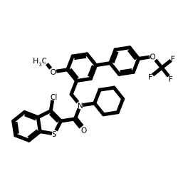 COc1ccc(-c2ccc(OC(F)(F)F)cc2)cc1CN(C(=O)c1sc2ccccc2c1Cl)C1CCCCC1